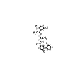 C/C(=C\N=C(/C)CNC(=O)c1ccc(=O)n(-c2ccccc2F)n1)c1cc(Cl)ccc1C=O